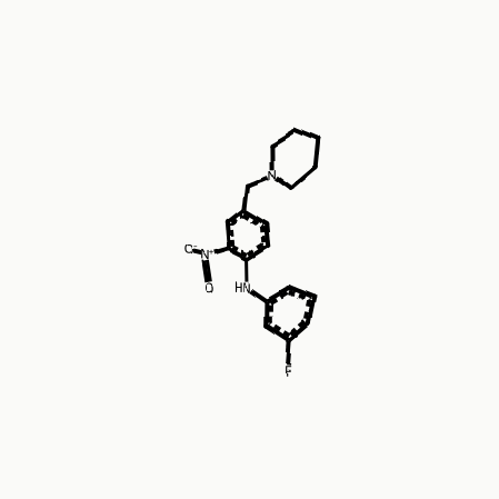 O=[N+]([O-])c1cc(CN2CCCCC2)ccc1Nc1cccc(F)c1